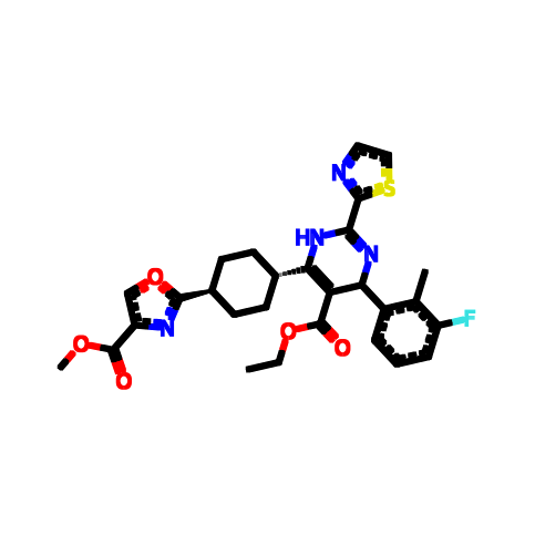 CCOC(=O)C1=C([C@H]2CC[C@H](c3nc(C(=O)OC)co3)CC2)NC(c2nccs2)=NC1c1cccc(F)c1C